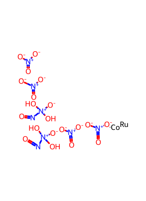 O=N[N+]([O-])(O)O.O=N[N+]([O-])(O)O.O=[N+]([O-])[O-].O=[N+]([O-])[O-].O=[N+]([O-])[O-].O=[N+]([O-])[O-].[Co].[Ru]